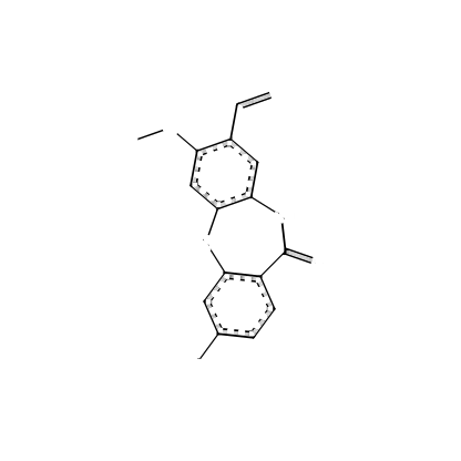 C=Cc1cc2c(cc1OC)Nc1cc(Cl)ccc1C(=O)N2